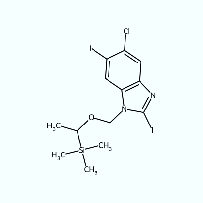 CC(OCn1c(I)nc2cc(Cl)c(I)cc21)[Si](C)(C)C